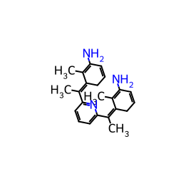 CC1=C(N)C=CCC1=C(C)c1cccc(C(C)=C2CC=CC(N)=C2C)n1